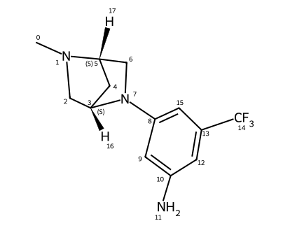 CN1C[C@@H]2C[C@H]1CN2c1cc(N)cc(C(F)(F)F)c1